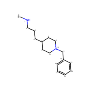 CCNCCCC1CCN(Cc2ccccc2)CC1